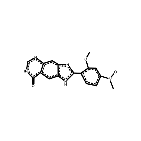 COc1cc([S+](C)[O-])ccc1-c1nc2cc3nc[nH]c(=O)c3cc2[nH]1